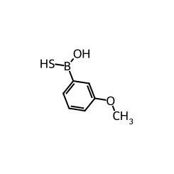 COc1cccc(B(O)S)c1